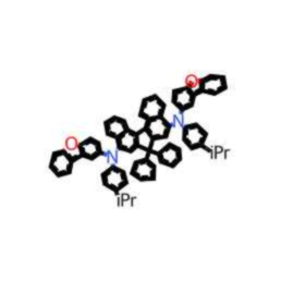 CC(C)c1ccc(N(c2ccc3oc4ccccc4c3c2)c2cc3c(c4ccccc24)-c2c(cc(N(c4ccc(C(C)C)cc4)c4ccc5oc6ccccc6c5c4)c4ccccc24)C3(c2ccccc2)c2ccccc2)cc1